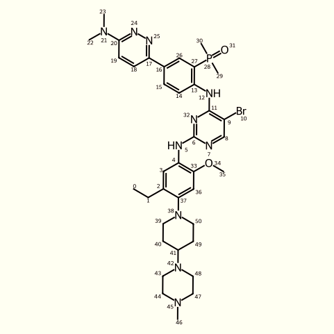 CCc1cc(Nc2ncc(Br)c(Nc3ccc(-c4ccc(N(C)C)nn4)cc3P(C)(C)=O)n2)c(OC)cc1N1CCC(N2CCN(C)CC2)CC1